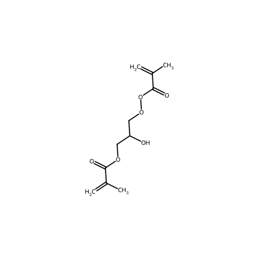 C=C(C)C(=O)OCC(O)COOC(=O)C(=C)C